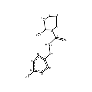 [O]C1OCCCC1C(=O)NCc1ccc(F)cc1